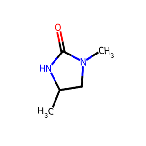 CC1CN(C)C(=O)N1